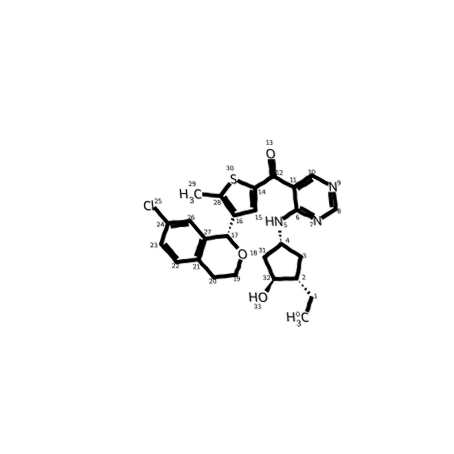 CC[C@H]1C[C@@H](Nc2ncncc2C(=O)c2cc([C@@H]3OCCc4ccc(Cl)cc43)c(C)s2)C[C@@H]1O